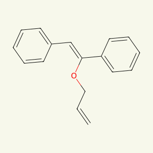 C=CCOC(=Cc1ccccc1)c1ccccc1